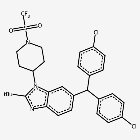 CC(C)(C)c1nc2ccc(C(c3ccc(Cl)cc3)c3ccc(Cl)cc3)cc2n1C1CCN(S(=O)(=O)C(F)(F)F)CC1